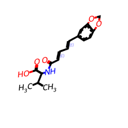 CC(C)C(NC(=O)/C=C/C=C/c1ccc2c(c1)OCO2)C(=O)O